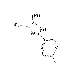 Cc1ccc(C2=NC(C(C)C)C(C(C)(C)C)N2)cc1